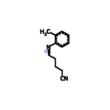 Cc1ccccc1/N=C\CCCC#N